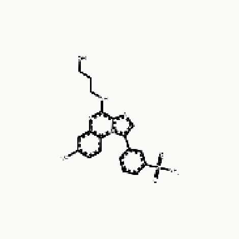 NS(=O)(=O)c1cccc(-c2cnc3c(NCCCO)nc4cc(C(F)(F)F)ccc4n23)c1